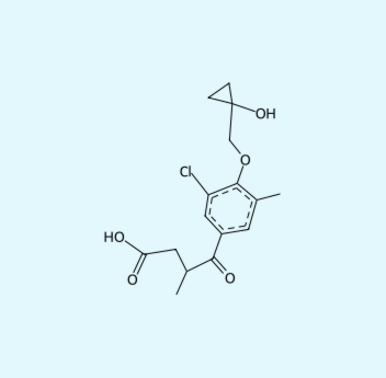 Cc1cc(C(=O)C(C)CC(=O)O)cc(Cl)c1OCC1(O)CC1